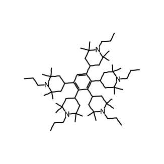 CCCN1C(C)(C)CC(c2cc(C3CC(C)(C)N(CCC)C(C)(C)C3)c(C3CC(C)(C)N(CCC)C(C)(C)C3)c(C3CC(C)(C)N(CCC)C(C)(C)C3)c2C2CC(C)(C)N(CCC)C(C)(C)C2)CC1(C)C